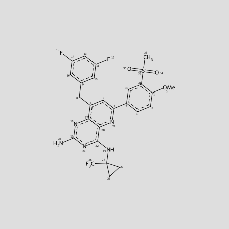 COc1ccc(-c2cc(Cc3cc(F)cc(F)c3)c3nc(N)nc(NC4(C(F)(F)F)CC4)c3n2)cc1S(C)(=O)=O